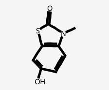 Cn1c(=O)sc2cc(O)ccc21